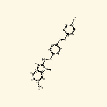 Cn1c(NCc2ccc(OCc3ccc(Cl)cn3)cc2)nc2ccc(N)cc21